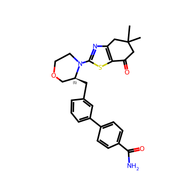 CC1(C)CC(=O)c2sc(N3CCOC[C@@H]3Cc3cccc(-c4ccc(C(N)=O)cc4)c3)nc2C1